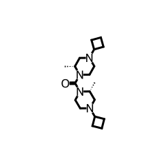 C[C@@H]1CN(C2CCC2)CCN1C(=O)N1CCN(C2CCC2)C[C@H]1C